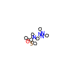 c1ccc(-c2nc(-c3ccccc3)nc(-c3cccc(-n4c5ccccc5c5c6c7ccccc7oc6c6sc7ccccc7c6c54)c3)n2)cc1